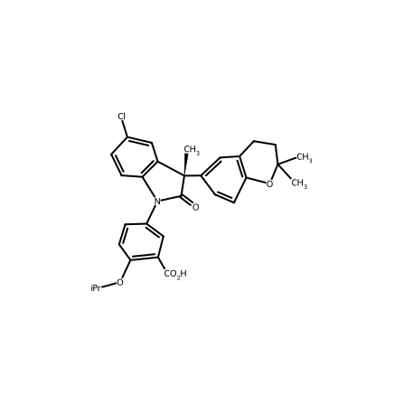 CC(C)Oc1ccc(N2C(=O)[C@@](C)(c3ccc4c(c3)CCC(C)(C)O4)c3cc(Cl)ccc32)cc1C(=O)O